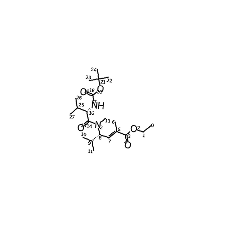 CCOC(=O)/C(C)=C/[C@H](C(C)C)N(C)C(=O)[C@@H](NC(=O)OC(C)(C)C)C(C)C